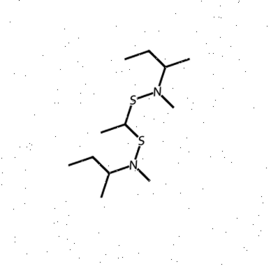 CCC(C)N(C)SC(C)SN(C)C(C)CC